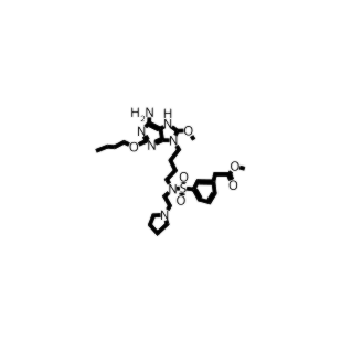 CCCCOc1nc(N)c2c(n1)N(CCCCN(CCN1CCCC1)S(=O)(=O)c1cccc(CC(=O)OC)c1)C(OC)N2